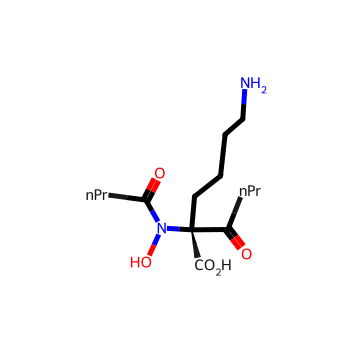 CCCC(=O)N(O)[C@@](CCCCN)(C(=O)O)C(=O)CCC